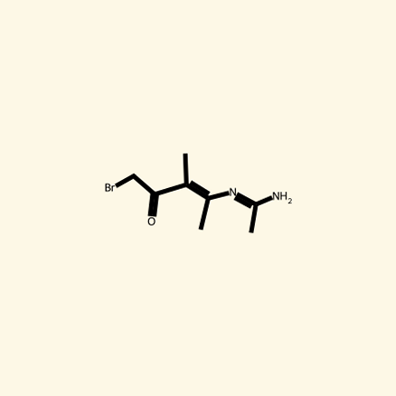 C/C(N)=N\C(C)=C(/C)C(=O)CBr